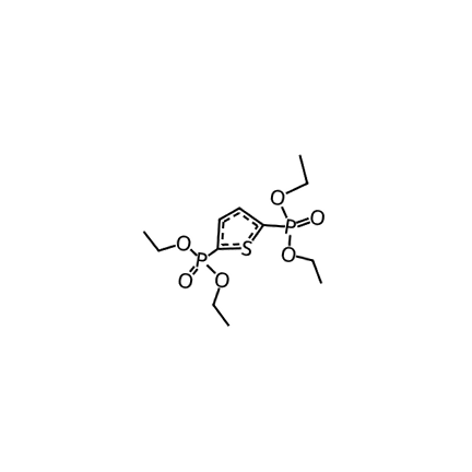 CCOP(=O)(OCC)c1ccc(P(=O)(OCC)OCC)s1